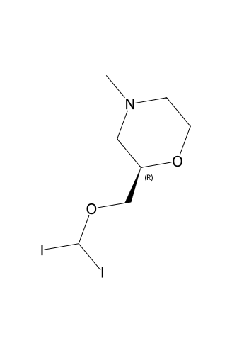 CN1CCO[C@@H](COC(I)I)C1